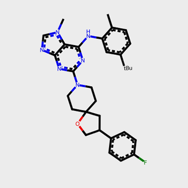 Cc1ccc(C(C)(C)C)cc1Nc1nc(N2CCC3(CC2)CC(c2ccc(F)cc2)CO3)nc2ncn(C)c12